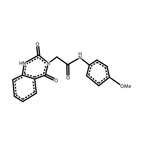 COc1ccc(NC(=O)Cn2c(=O)[nH]c3ccccc3c2=O)cc1